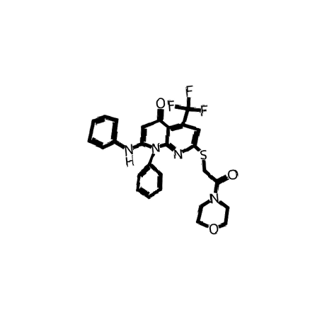 O=C(CSc1cc(C(F)(F)F)c2c(=O)cc(Nc3ccccc3)n(-c3ccccc3)c2n1)N1CCOCC1